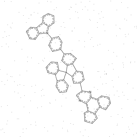 c1ccc2c(c1)-c1ccccc1C21c2cc(-c3ccc(-n4c5ccccc5c5ccccc54)cc3)ccc2-c2ccc(-c3cnc4c5ccccc5c5ccccc5c4n3)cc21